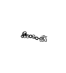 CCC1(OC(=O)COc2ccc(OCc3ccc(C(CC(C)C)C(C)(C)C)cc3)cc2)CCCC1